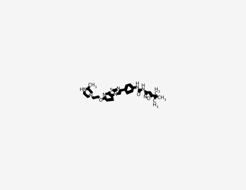 CC1CN(CCOc2ccc3c(n2)sc2nc(-c4ccc(NC(=O)Nc5cc(C(C)(C)C)on5)cc4)cn23)CCN1